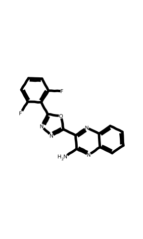 Nc1nc2ccccc2nc1-c1nnc(-c2c(F)cccc2F)o1